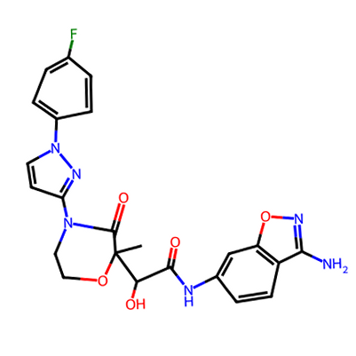 CC1(C(O)C(=O)Nc2ccc3c(N)noc3c2)OCCN(c2ccn(-c3ccc(F)cc3)n2)C1=O